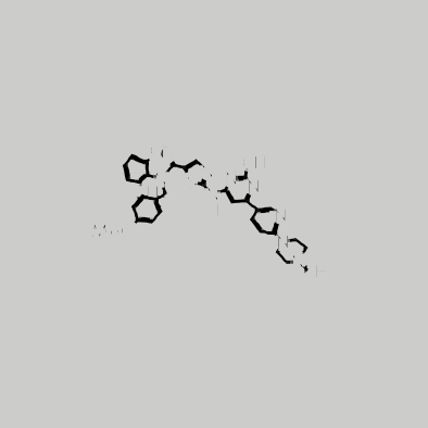 COc1ccc(CN(C(=O)c2cnc(Nc3cc(-c4ccc(N5CCN(C)CC5)nc4)nc(C)n3)s2)c2c(C)cccc2Cl)cc1